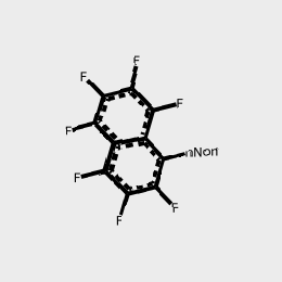 CCCCCCCCCc1c(F)c(F)c(F)c2c(F)c(F)c(F)c(F)c12